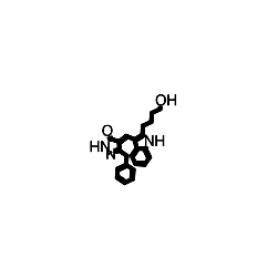 O=C1NN=C(Cc2ccccc2)C1=Cc1c(CCCCO)[nH]c2ccccc12